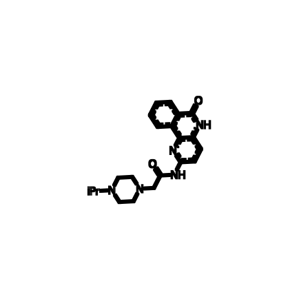 CC(C)N1CCN(CC(=O)Nc2ccc3[nH]c(=O)c4ccccc4c3n2)CC1